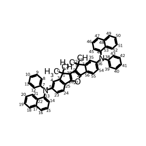 CC1(C)c2cc(N(c3ccccc3)c3cccc4ccccc34)ccc2-c2oc3c(c21)C(C)(C)c1cc(N(c2ccccc2)c2cccc4ccccc24)ccc1-3